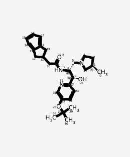 C[C@@H]1CCN(C[C@@H](NC(=O)CC2Cc3ccccc3C2)[C@H](O)c2ccc(OC(C)(C)C)cn2)C1